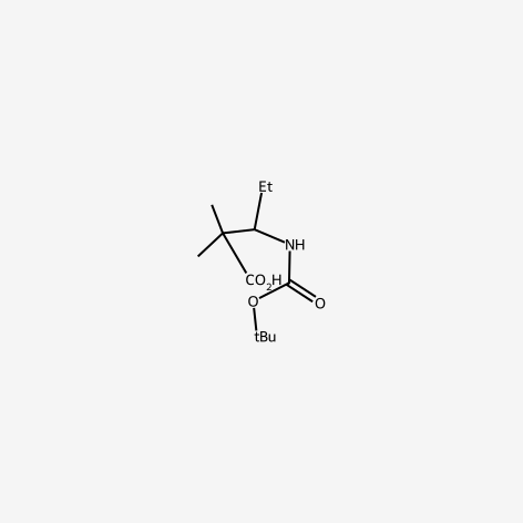 CCC(NC(=O)OC(C)(C)C)C(C)(C)C(=O)O